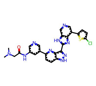 CN(C)CC(=O)Nc1cncc(-c2ccc3[nH]nc(-c4nc5c(-c6ccc(Cl)s6)cncc5[nH]4)c3n2)c1